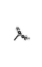 CCCCCCCOc1cc(Sc2nncn2C)ccc1CNc1ccc(C(CC)C(=O)O)cc1